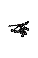 CCCCCCCCCCCCCC[C@@H](OCc1ccc(OC)cc1)[C@@H](OCc1ccc(OC)cc1)[C@H](CO[C@H]1OC(COCc2ccccc2)[C@H](OCc2ccccc2)[C@H](OCc2ccccc2)[C@H]1OCc1ccccc1)n1cc(CCCCCCc2ccccc2)nn1